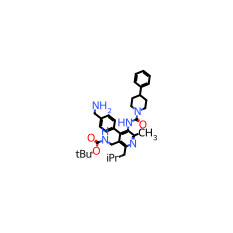 Cc1nc(CC(C)C)c(CNC(=O)OC(C)(C)C)c(-c2ccc(CN)cc2)c1NC(=O)N1CCC(c2ccccc2)CC1